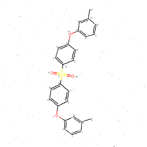 Cc1cccc(Oc2ccc(S(=O)(=O)c3ccc(Oc4cccc(C)c4)cc3)cc2)c1